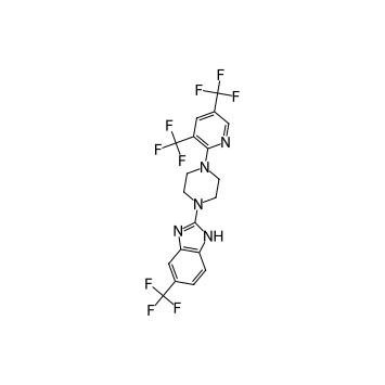 FC(F)(F)c1cnc(N2CCN(c3nc4cc(C(F)(F)F)ccc4[nH]3)CC2)c(C(F)(F)F)c1